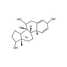 C[C@]12C=CC(O)C=C1CC(O)[C@@H]1[C@H]2CC[C@]2(C)C(O)CC[C@@H]12